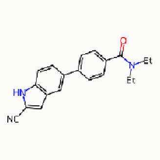 CCN(CC)C(=O)c1ccc(-c2ccc3[nH]c(C#N)cc3c2)cc1